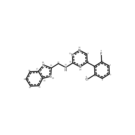 Fc1cccc(Cl)c1-c1cnnc(NCc2nc3ccccc3s2)n1